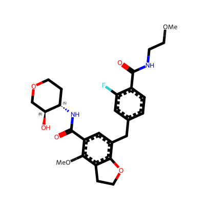 COCCNC(=O)c1ccc(Cc2cc(C(=O)N[C@H]3CCOC[C@@H]3O)c(OC)c3c2OCC3)cc1F